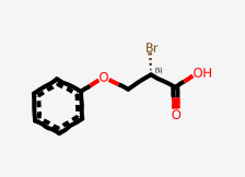 O=C(O)[C@@H](Br)COc1ccccc1